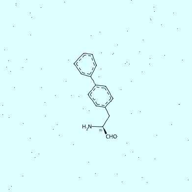 N[C@H]([C]=O)Cc1ccc(-c2ccccc2)cc1